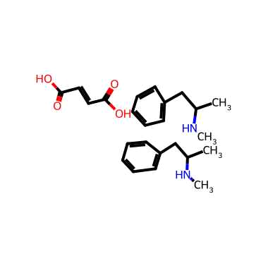 CNC(C)Cc1ccccc1.CNC(C)Cc1ccccc1.O=C(O)/C=C/C(=O)O